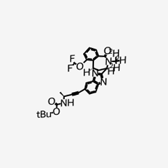 [2H]C([2H])([2H])N1C(=O)c2cccc(OC(F)F)c2[C@H]2C[C@@H]1c1nc3ccc(C#C[C@H](C)NC(=O)OC(C)(C)C)cc3n12